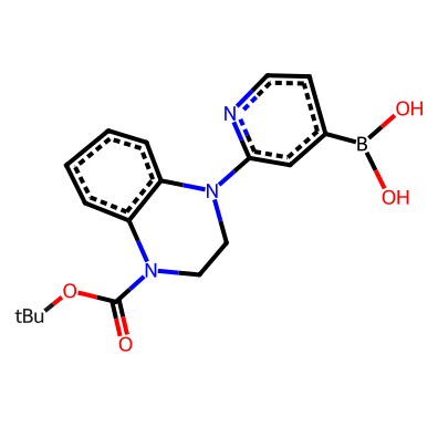 CC(C)(C)OC(=O)N1CCN(c2cc(B(O)O)ccn2)c2ccccc21